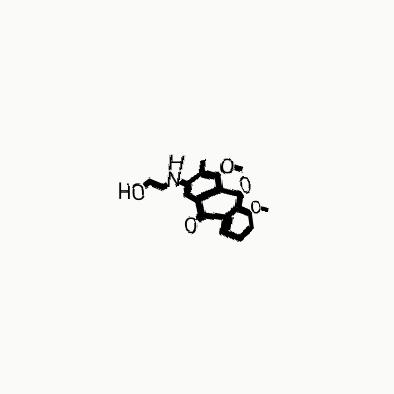 COc1cccc2c1C(=O)c1c(cc(NCCO)c(C)c1OC)C2=O